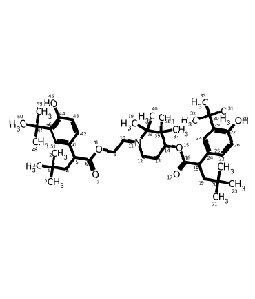 CC(C)(C)CC(C(=O)OCCN1CCC(OC(=O)C(CC(C)(C)C)c2ccc(O)c(C(C)(C)C)c2)C(C)(C)C1(C)C)c1ccc(O)c(C(C)(C)C)c1